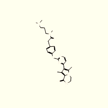 Cc1c(-c2ccnc(Nc3ccc(CC(=O)N(C)CCCN(C)C)cc3)n2)c(C)n2c1C(=O)NCC2